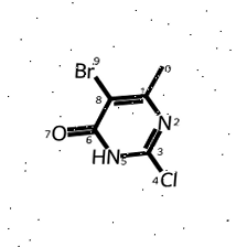 Cc1nc(Cl)[nH]c(=O)c1Br